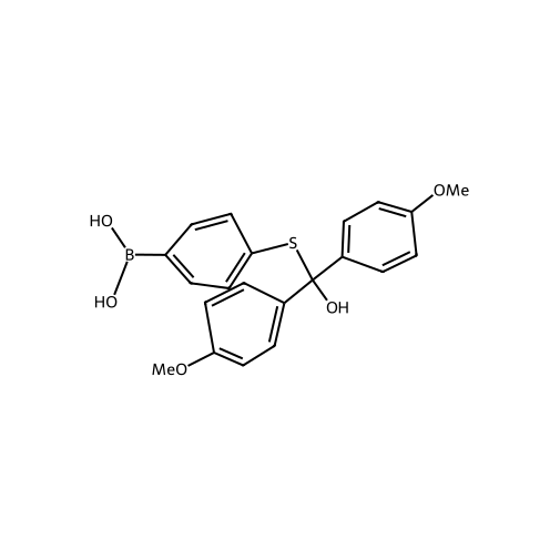 COc1ccc(C(O)(Sc2ccc(B(O)O)cc2)c2ccc(OC)cc2)cc1